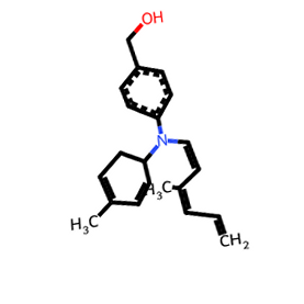 C=C/C=C(C)\C=C/N(c1ccc(CO)cc1)C1C=CC(C)=CC1